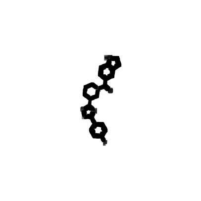 O=C(c1ccc2[nH]ccc2c1)N1CCC[C@H](c2nc(-c3ccc(F)cc3)no2)C1